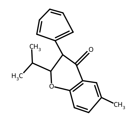 Cc1ccc2c(c1)C(=O)C(c1ccccc1)C(C(C)C)O2